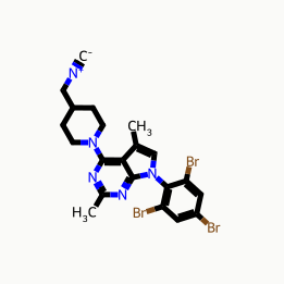 [C-]#[N+]CC1CCN(c2nc(C)nc3c2c(C)cn3-c2c(Br)cc(Br)cc2Br)CC1